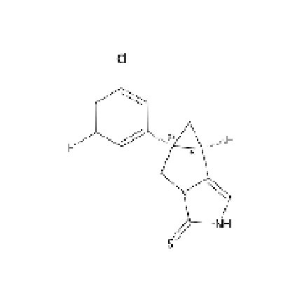 Fc1cc(Cl)cc([C@]23C[C@H]2c2c[nH]c(=S)n2C3)c1